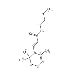 CCCCOC(=O)C=CC1C(C)=CCCC1(C)C